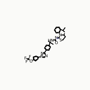 CC(C)c1ccccc1N1/C(=N/C(=O)NC(C)(C)c2ccc(-c3ncn(-c4ccc(OC(F)(F)F)cc4)n3)cc2)SCCC1C